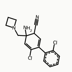 N#CC1C=C(c2ccccc2Cl)C(Cl)=CC1(N)CN1CCC1